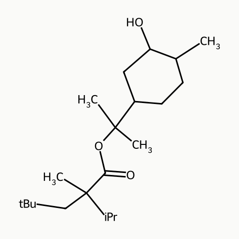 CC1CCC(C(C)(C)OC(=O)C(C)(CC(C)(C)C)C(C)C)CC1O